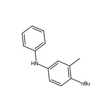 CCCCc1ccc(Nc2ccccc2)cc1C